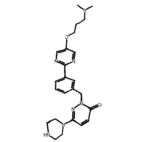 CN(C)CCCOc1cnc(-c2cccc(Cn3nc(N4CCNCC4)ccc3=O)c2)nc1